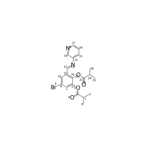 CC(C)C(=O)Oc1cc(Br)cc(C=Nc2cccnc2)c1OC(=O)C(C)C